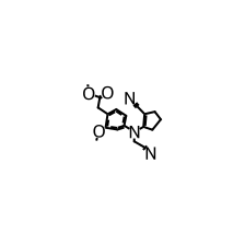 COC(=O)Cc1ccc(N(CC#N)C2=C(C#N)CCC2)cc1OC